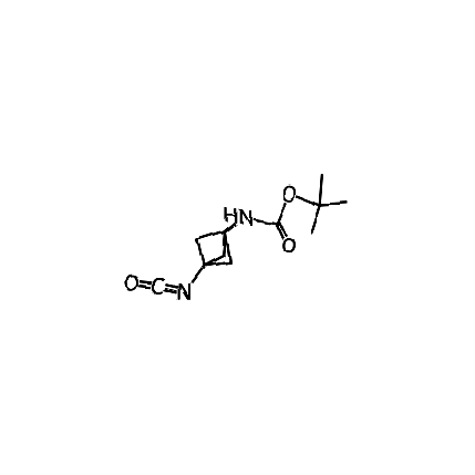 CC(C)(C)OC(=O)NC12CC(N=C=O)(C1)C2